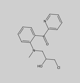 CN(CC(O)CCl)c1ccccc1C(=O)c1ccccn1